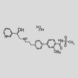 CC(C)COc1cc(-c2ccc(CCCNC[C@H](O)c3cccnc3)cc2)ccc1C(=O)NS(C)(=O)=O.Cl.Cl